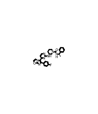 C[C@@H](NC(=O)N1CCC[C@@H](Nc2nccc(-c3c(-c4ccc(F)cc4)nc4occn34)n2)C1)c1ccccc1